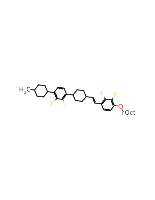 CCCCCCCCOc1ccc(/C=C/C2CCC(c3ccc(C4CCC(C)CC4)c(F)c3F)CC2)c(F)c1F